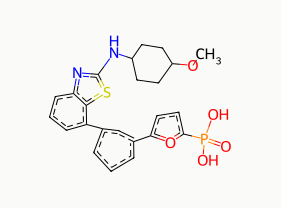 COC1CCC(Nc2nc3cccc(-c4cccc(-c5ccc(P(=O)(O)O)o5)c4)c3s2)CC1